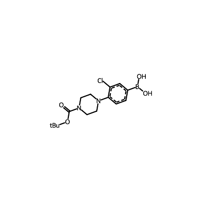 CC(C)(C)OC(=O)N1CCN(c2ccc(B(O)O)cc2Cl)CC1